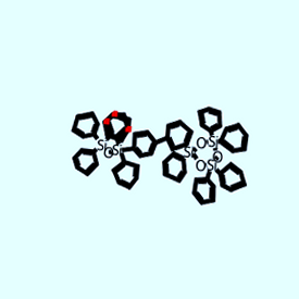 c1ccc([Si]2(c3ccccc3)O[Si](c3ccccc3)(c3ccccc3)O[Si](c3ccccc3)(c3cccc(-c4ccc([Si](O[Si](c5ccccc5)(c5ccccc5)c5ccccc5)(c5ccccc5)c5ccccc5)cc4)c3)O2)cc1